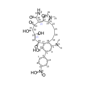 CN(C)c1cc(-c2ccc([N+](=O)O)cc2)c(O)c2c1CCCC[C@H](N(C)C)/C(O)=C(/C(N)=O)C(=O)[C@@H](O)/C(O)=C/C2=O